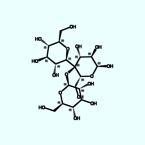 OC[C@H]1O[C@@H]([C@]2(O[C@@H]3O[C@H](CO)[C@@H](O)C(O)[C@H]3O)[C@H](O)[C@@H](O)[C@@H](O)O[C@@H]2CO)[C@H](O)[C@@H](O)[C@@H]1O